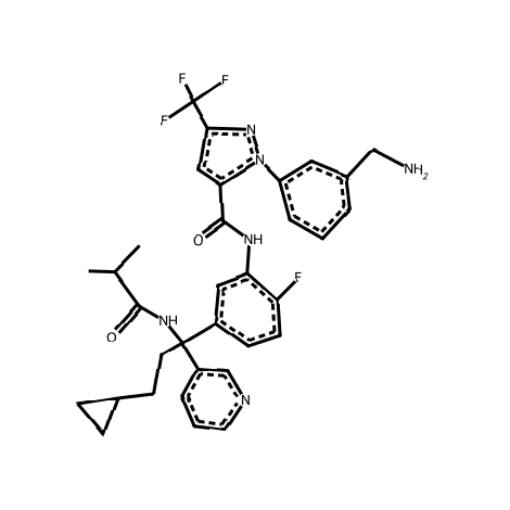 CC(C)C(=O)NC(CCC1CC1)(c1cccnc1)c1ccc(F)c(NC(=O)c2cc(C(F)(F)F)nn2-c2cccc(CN)c2)c1